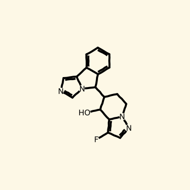 OC1c2c(F)cnn2CCC1C1c2ccccc2-c2cncn21